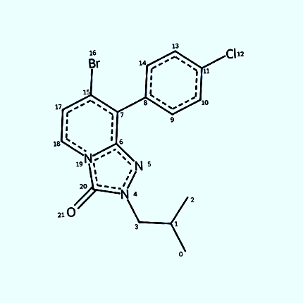 CC(C)Cn1nc2c(-c3ccc(Cl)cc3)c(Br)ccn2c1=O